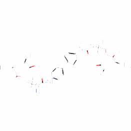 C=CC(=O)OCC(C)(COC(=O)C=C)NC(=O)Nc1ccc(-c2ccc(NC(=O)NC(C)(COC(=O)C=C)COC(=O)C=C)cc2)cc1